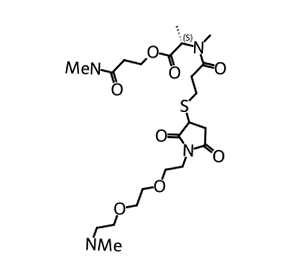 CNCCOCCOCCN1C(=O)CC(SCCC(=O)N(C)[C@@H](C)C(=O)OCCC(=O)NC)C1=O